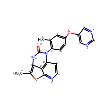 Cc1cc(Oc2cncnc2)ccc1N1C(=O)Nc2c(C(=O)O)sc3nccc1c23